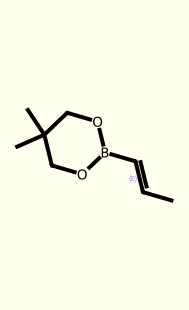 C/C=C/B1OCC(C)(C)CO1